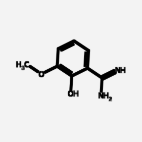 COc1cccc(C(=N)N)c1O